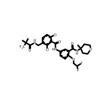 CC1(NC(=O)c2cc(NC(=O)c3c(Cl)ccc(CNC(=O)C(C)(C)C(F)(F)F)c3Cl)ccc2OCC(F)F)CCOCC1